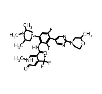 CN/C=C(C(=O)Nc1c(N2CC(C)N(C)C(C)C2)cc(F)c(-c2cnc(N3CCOC(C)C3)nc2)c1F)\C(=C/C=O)C(F)(F)F